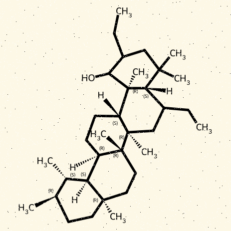 CCC1CC(C)(C)[C@@H]2C(CC)C[C@]3(C)[C@H](CC[C@@H]4[C@@H]5[C@@H](C)[C@H](C)CC[C@]5(C)CC[C@]43C)[C@@]2(C)C1O